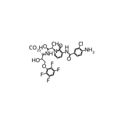 CC(C(=O)N[C@@H](CC(=O)O)C(O)COc1c(F)c(F)cc(F)c1F)n1cccc(NC(=O)c2ccc(N)c(Cl)c2)c1=O